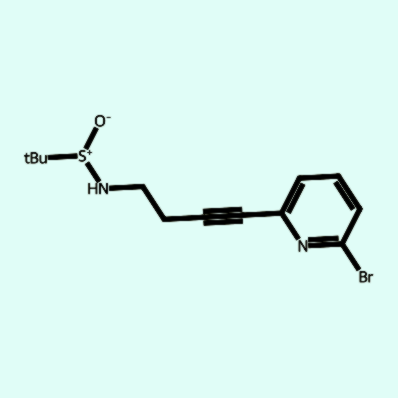 CC(C)(C)[S+]([O-])NCCC#Cc1cccc(Br)n1